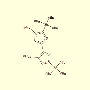 CCCCCCc1c[c]([Sn]([CH2]CCC)([CH2]CCC)[CH2]CCC)sc1-c1cc(CCCCCC)[c]([Sn]([CH2]CCC)([CH2]CCC)[CH2]CCC)s1